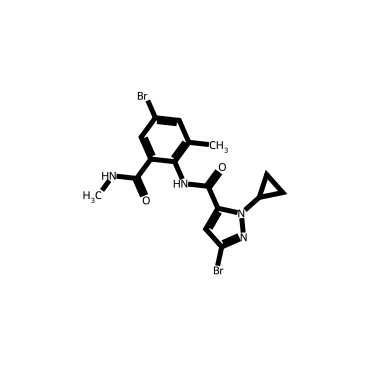 CNC(=O)c1cc(Br)cc(C)c1NC(=O)c1cc(Br)nn1C1CC1